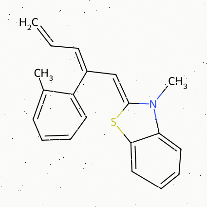 C=C/C=C(/C=C1\Sc2ccccc2N1C)c1ccccc1C